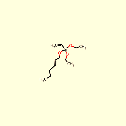 C=C[Si](OCC)(OCC)OCC=CCCC